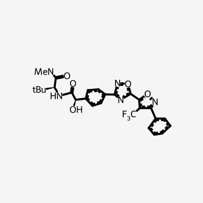 CNC(=O)[C@@H](NC(=O)[C@H](O)c1ccc(-c2noc(-c3onc(-c4ccccc4)c3C(F)(F)F)n2)cc1)C(C)(C)C